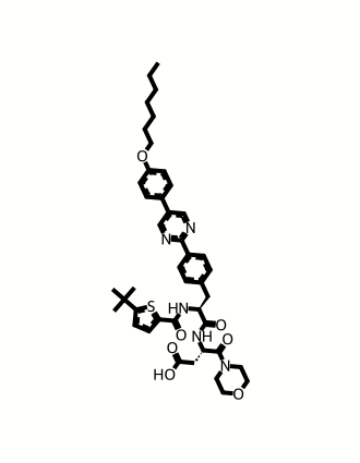 CCCCCCCOc1ccc(-c2cnc(-c3ccc(C[C@H](NC(=O)c4ccc(C(C)(C)C)s4)C(=O)N[C@@H](CC(=O)O)C(=O)N4CCOCC4)cc3)nc2)cc1